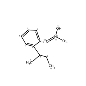 CCC(C)c1ccccn1.O=[N+]([O-])O